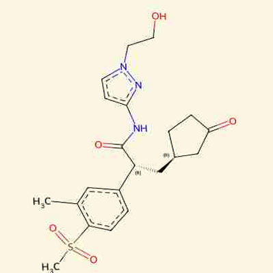 Cc1cc([C@@H](C[C@H]2CCC(=O)C2)C(=O)Nc2ccn(CCO)n2)ccc1S(C)(=O)=O